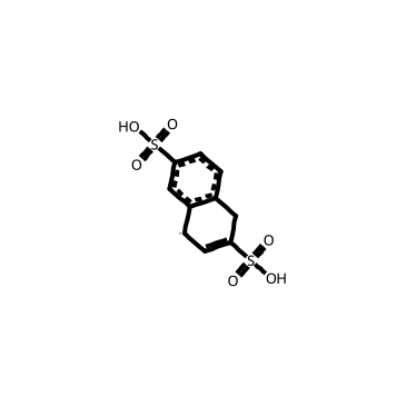 O=S(=O)(O)C1=C[CH]c2cc(S(=O)(=O)O)ccc2C1